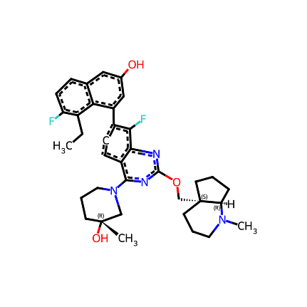 CCc1c(F)ccc2cc(O)cc(-c3ccc4c(N5CCC[C@@](C)(O)C5)nc(OC[C@]56CCC[C@H]5N(C)CCC6)nc4c3F)c12